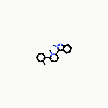 Cc1ccccc1-c1cccc(-c2c3ccccc3nn2C)[n+]1C